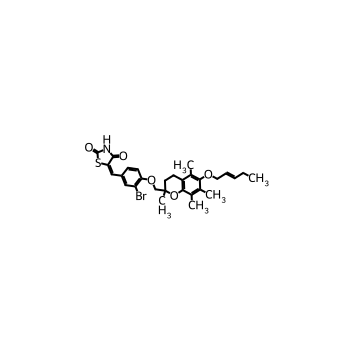 CCC=CCOc1c(C)c(C)c2c(c1C)CCC(C)(COc1ccc(C=C3SC(=O)NC3=O)cc1Br)O2